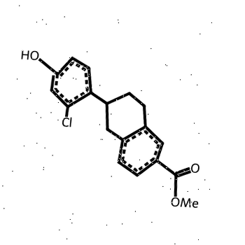 COC(=O)c1ccc2c(c1)CCC(c1ccc(O)cc1Cl)C2